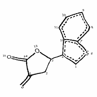 C=C1CC(c2csc3ccccc23)OC1=O